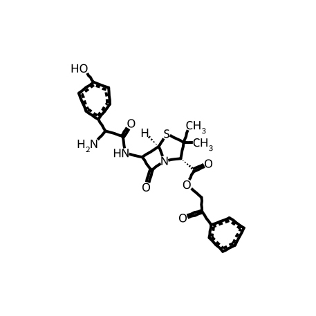 CC1(C)S[C@@H]2C(NC(=O)C(N)c3ccc(O)cc3)C(=O)N2[C@H]1C(=O)OCC(=O)c1ccccc1